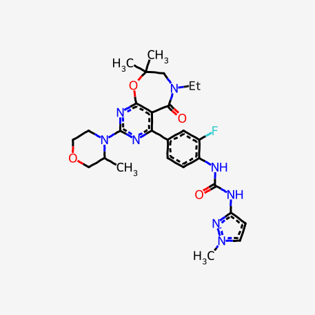 CCN1CC(C)(C)Oc2nc(N3CCOCC3C)nc(-c3ccc(NC(=O)Nc4ccn(C)n4)c(F)c3)c2C1=O